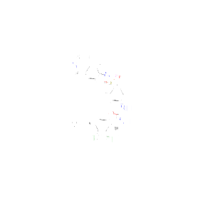 COc1ccc([C@H](C)NC(=O)Nc2ccc(S(=O)(=O)Nc3ccc4c(c3)CCNC4)cc2)c(Cl)c1Cl